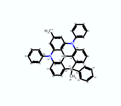 Cc1cc2c3c(c1)N(c1ccccc1)c1cccc4c1B3c1c(cccc1[Si]4(C)c1ccccc1)N2c1ccccc1